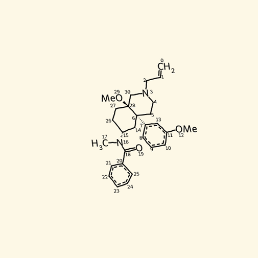 C=CCN1CC[C@@]2(c3cccc(OC)c3)C[C@H](N(C)C(=O)c3ccccc3)CC[C@]2(OC)C1